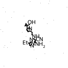 CCc1cnn2c(N)c(C#N)c(NCCc3ccn(C4(CO)CC4)n3)nc12